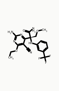 CCOc1nc(N)nc([C@@](COC)(Nc2cccc(C(F)(F)F)c2)C(N)=O)c1C#N